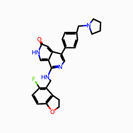 O=c1cc2c(-c3ccc(CN4CCCC4)cc3)cnc(NCc3c(F)ccc4c3CCO4)c2c[nH]1